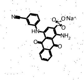 N#Cc1cccc(Nc2cc(S(=O)(=O)[O-])c(N)c3c2C(=O)c2ccccc2C3=O)c1.[Na+]